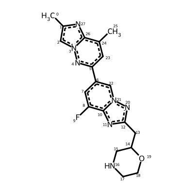 Cc1cn2nc(-c3cc(F)c4nc(CC5CNCCO5)nn4c3)cc(C)c2n1